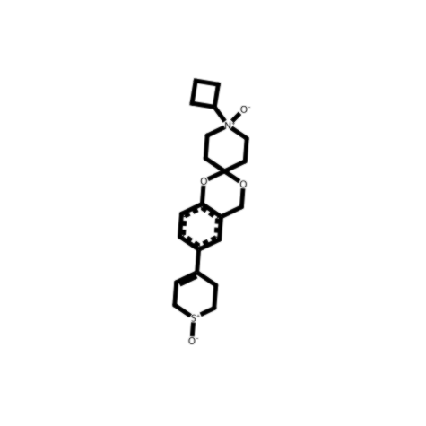 [O-][S+]1CC=C(c2ccc3c(c2)COC2(CC[N+]([O-])(C4CCC4)CC2)O3)CC1